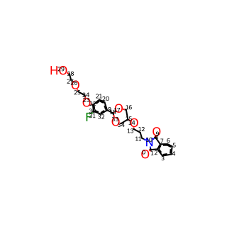 O=C1c2ccccc2C(=O)N1CCCOC1COC(c2ccc(OCCOCCO)c(F)c2)OC1